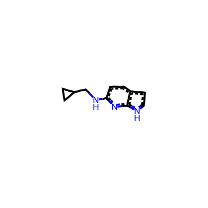 c1cc2ccc(NCC3CC3)nc2[nH]1